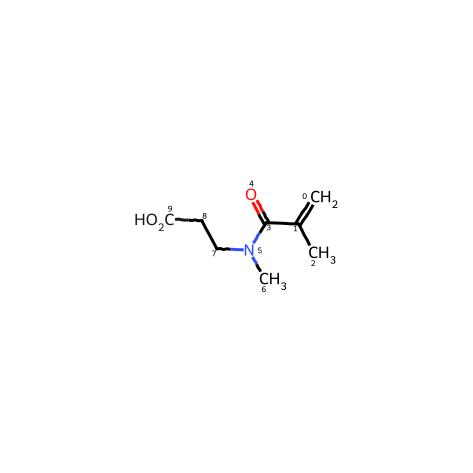 C=C(C)C(=O)N(C)CCC(=O)O